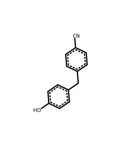 N#Cc1ccc(Cc2ccc(O)cc2)cc1